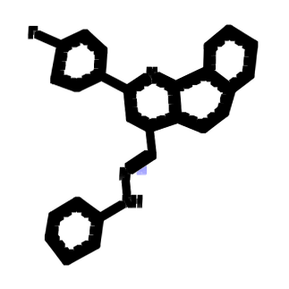 Fc1ccc(-c2cc(/C=N/Nc3ccccc3)c3ccc4ccccc4c3n2)cc1